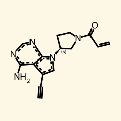 C#Cc1cn([C@H]2CCN(C(=O)C=C)C2)c2ncnc(N)c12